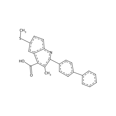 CSc1ccc2nc(-c3ccc(-c4ccccc4)cc3)c(C)c(C(=O)O)c2c1